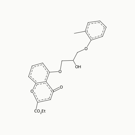 CCOC(=O)c1cc(=O)c2c(OCC(O)COc3ccccc3C)cccc2o1